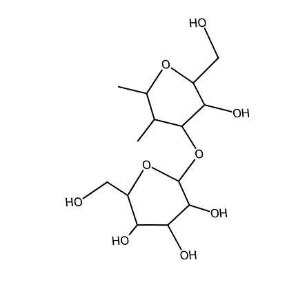 CC1OC(CO)C(O)C(OC2OC(CO)C(O)C(O)C2O)C1C